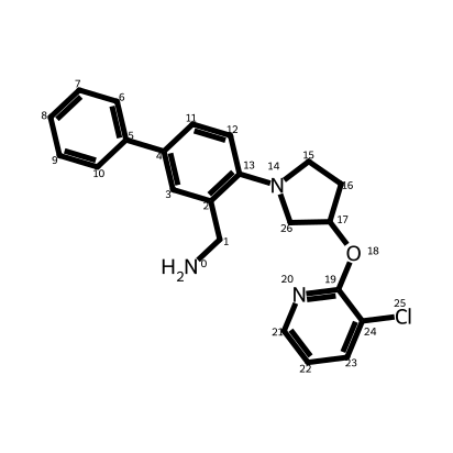 NCc1cc(-c2ccccc2)ccc1N1CCC(Oc2ncccc2Cl)C1